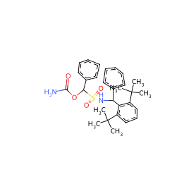 CC(C)(C)c1cccc(C(C)(C)C)c1C(NS(=O)(=O)C(OC(N)=O)c1ccccc1)c1ccccc1